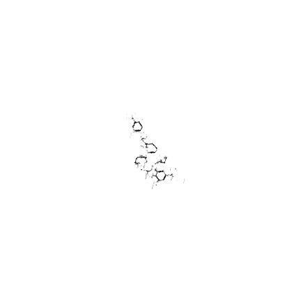 O=C(O)c1cc(F)c2nc(CN3CC[C@H](c4cccc(COc5ccc(Cl)cc5F)n4)C3)n(CC3CCO3)c2c1